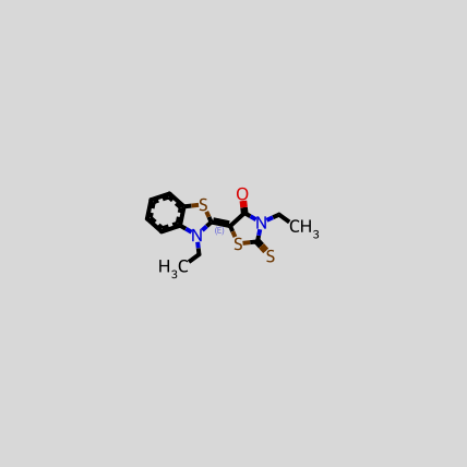 CCN1C(=O)/C(=C2\Sc3ccccc3N2CC)SC1=S